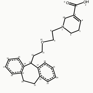 O=C(O)C1=CCCN(CCOCCC2c3ccccc3CCc3ccccc32)C1